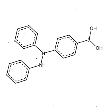 OB(O)c1ccc(N(Nc2ccccc2)c2ccccc2)cc1